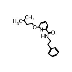 CC(C)CCOc1cccc(C(=O)NCCc2ccccc2)n1